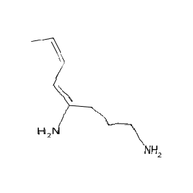 C/C=C\C=C(\N)CCCN